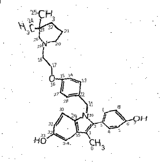 Cc1c(-c2ccc(O)cc2)n(Cc2ccc(OCCN3CCCC(C)(C)C3)cc2)c2ccc(O)cc12